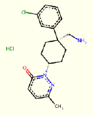 Cc1ccc(=O)n([C@H]2CC[C@](CN)(c3cccc(Cl)c3)CC2)n1.Cl